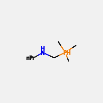 CCCNC[PH](C)(C)C